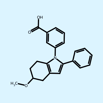 COC1CCc2c(cc(-c3ccccc3)n2-c2cccc(C(=O)O)c2)C1